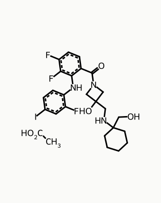 CC(=O)O.O=C(c1ccc(F)c(F)c1Nc1ccc(I)cc1F)N1CC(O)(CNC2(CO)CCCCC2)C1